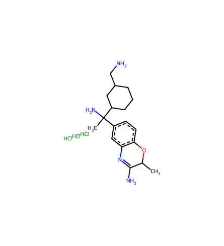 CC1Oc2ccc(C(C)(N)C3CCCC(CN)C3)cc2N=C1N.Cl.Cl.Cl